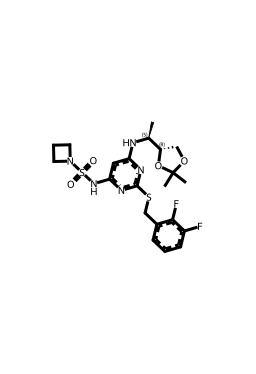 C[C@H](Nc1cc(NS(=O)(=O)N2CCC2)nc(SCc2cccc(F)c2F)n1)[C@@H]1COC(C)(C)O1